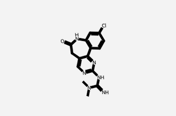 CN(C)C(=N)Nc1ncc2c(n1)-c1ccc(Cl)cc1NC(=O)C2